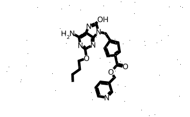 CCCCOc1nc(N)c2nc(O)n(Cc3ccc(C(=O)OCc4cccnc4)cc3)c2n1